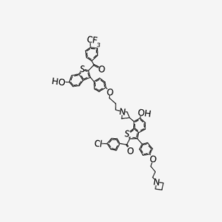 O=C(c1ccc(C(F)(F)F)cc1)c1sc2cc(O)ccc2c1-c1ccc(OCCCN2CC(c3c(O)ccc4c(-c5ccc(OCCCN6CCC6)cc5)c(C(=O)c5ccc(Cl)cc5)sc34)C2)cc1